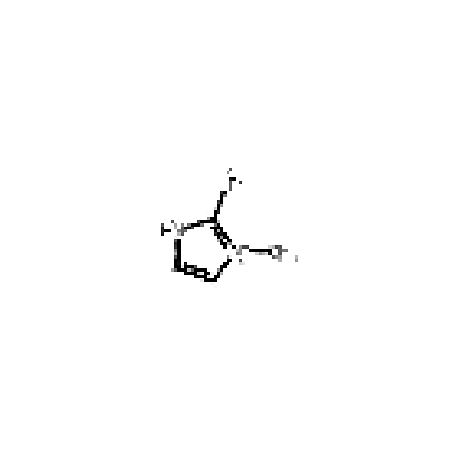 CC(C)c1[nH]cc[n+]1C